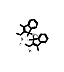 CC1=C([C@@H](C)C(C)C)C(Cl)([SiH2]C2(Cl)C([C@@H](C)C(C)C)=C(C)c3ccccc32)c2ccccc21.[Zr]